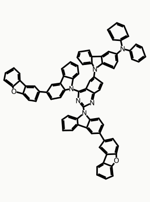 c1ccc(N(c2ccccc2)c2ccc3c(c2)c2ccccc2n3-c2ccc3nc(-n4c5ccccc5c5cc(-c6ccc7oc8ccccc8c7c6)ccc54)nc(-n4c5ccccc5c5cc(-c6ccc7oc8ccccc8c7c6)ccc54)c3c2)cc1